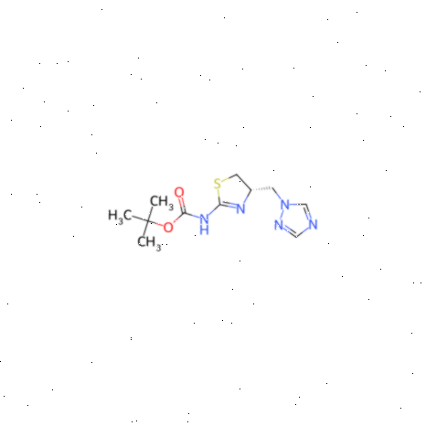 CC(C)(C)OC(=O)NC1=N[C@@H](Cn2cncn2)CS1